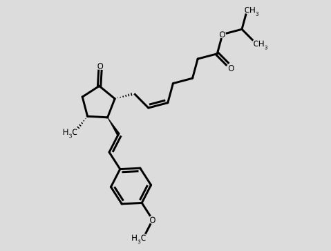 COc1ccc(/C=C/[C@H]2[C@H](C)CC(=O)[C@@H]2C/C=C\CCCC(=O)OC(C)C)cc1